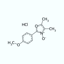 COc1ccc(-c2oc(C)c(C)[n+]2[O-])cc1.Cl